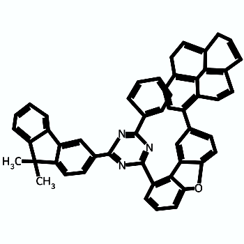 CC1(C)c2ccccc2-c2cc(-c3nc(-c4ccccc4)nc(-c4cccc5oc6ccc(-c7ccc8c9c%10c(ccc79)C=CCC%10=CC8)cc6c45)n3)ccc21